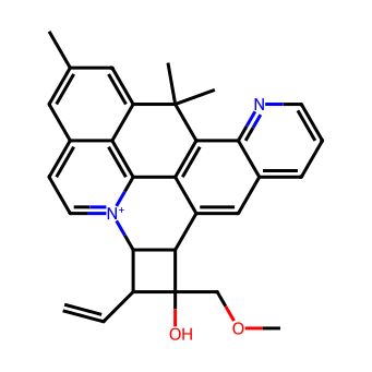 C=CC1C2C(c3cc4cccnc4c4c3-c3c5c(cc(C)cc5cc[n+]32)C4(C)C)C1(O)COC